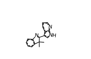 CC1(C)C(c2c[nH]c3ncccc23)=Nc2ccccc21